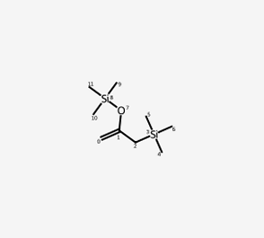 C=C(C[Si](C)(C)C)O[Si](C)(C)C